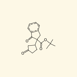 CC(C)(C)OC(=O)C1(C2CCC(=O)C2)Cc2ccccc2C1=O